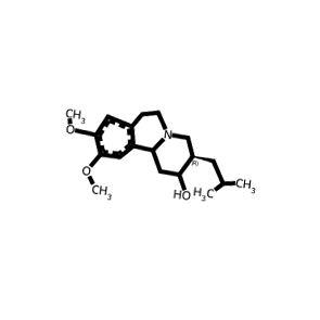 COc1cc2c(cc1OC)C1CC(O)[C@H](CC(C)C)CN1CC2